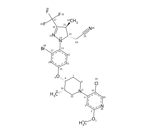 COc1cc(N2CC[C@@H](Oc3ccc(N4N=C(C(F)(F)F)[C@@H](C)[C@@H]4CC#N)c(Br)c3)[C@@H](C)C2)c(Cl)cn1